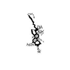 CCCCCC[C@](C)(O)[C@H]1CC[C@H]2[C@@H]3C[C@H](O)[C@H]4C[C@@H](O)CC[C@]4(C)[C@@]3(C)CC[C@@]21C